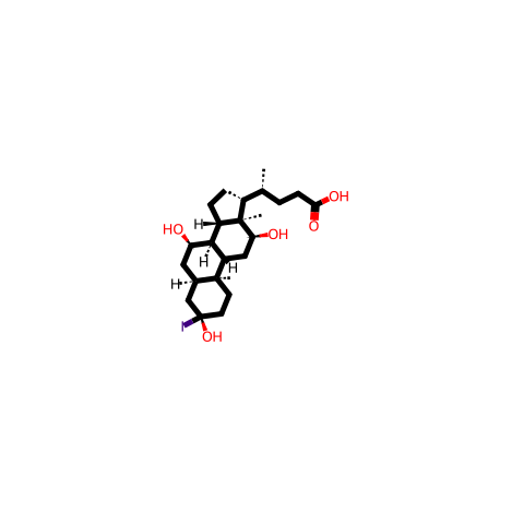 C[C@H](CCC(=O)O)[C@H]1CC[C@H]2[C@@H]3[C@H](O)C[C@@H]4C[C@@](O)(I)CC[C@]4(C)[C@H]3C[C@H](O)[C@]12C